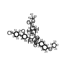 COc1cc(C(F)(F)C(NS(=O)(=O)c2ccc3cc(OC4CCCC4)ccc3c2)C(=O)N2C[C@H]3CN(C(=O)OC(C)(C)C)C[C@H]3C2)ccc1-c1ccc(Cl)cc1